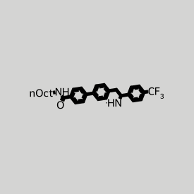 CCCCCCCCNC(=O)c1ccc(-c2ccc(CC([NH])c3ccc(C(F)(F)F)cc3)cc2)cc1